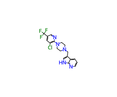 FC(F)(F)c1cnc(N2CCN(Cc3c[nH]c4ncccc34)CC2)c(Cl)c1